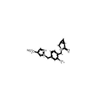 Cc1cc(Cn2cc(C(=O)O)cn2)ccc1CN1CC2C=C2C1=O